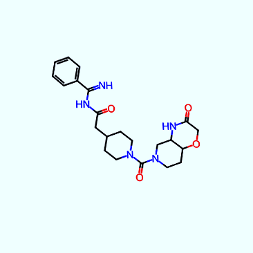 N=C(NC(=O)CC1CCN(C(=O)N2CCC3OCC(=O)NC3C2)CC1)c1ccccc1